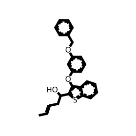 CC=CCC(O)c1sc2ccccc2c1Oc1cccc(OCc2ccccc2)c1